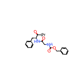 CC(C)C(=O)[C@H](Cc1ccccc1)NC(=O)CNC(=O)OCc1ccccc1